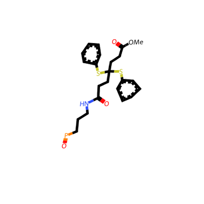 COC(=O)CCC(CCC(=O)NCCCP=O)(Sc1ccccc1)Sc1ccccc1